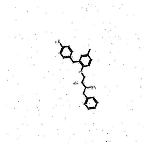 Cc1ccc(NC[C@@H](O)[C@@H](N)Cc2ccccc2)c(Cc2ccc(N)cc2)c1